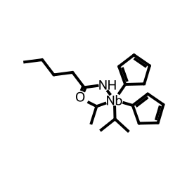 CCCCC(=O)[NH][Nb]([C]1=CC=CC1)([C]1=CC=CC1)([CH](C)C)[CH](C)C